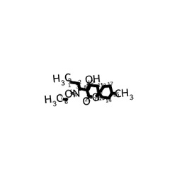 CCCC(=NOCC)C1=C(O)CC2(CCC(C)CC2)OC1=O